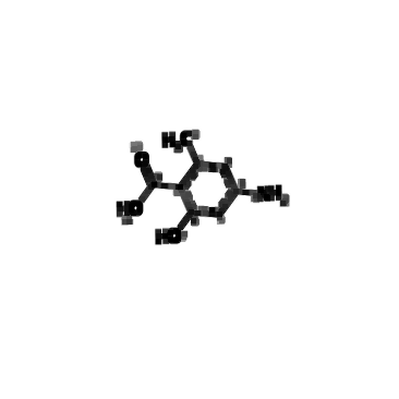 Cc1cc(N)cc(O)c1C(=O)O